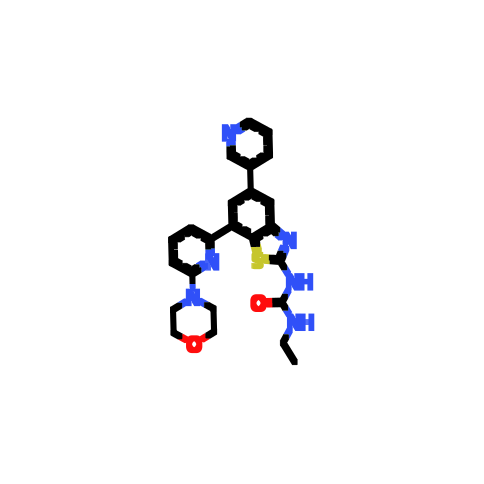 CCNC(=O)Nc1nc2cc(-c3cccnc3)cc(-c3cccc(N4CCOCC4)n3)c2s1